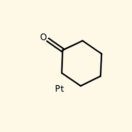 O=C1CCCCC1.[Pt]